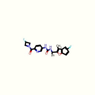 Cc1c(C(NC(=O)Nc2ccc(C(=O)N3CC(F)C3)nc2)C(C)C)oc2ccc(F)cc12